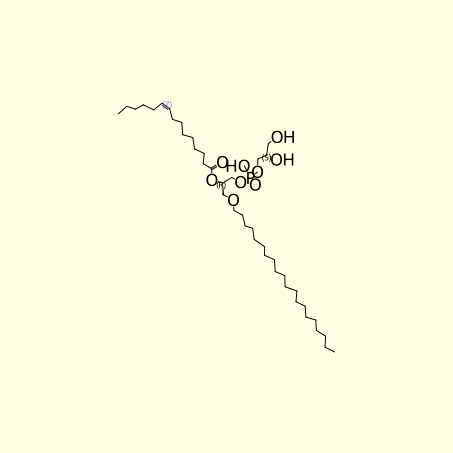 CCCCC/C=C\CCCCCCCC(=O)O[C@H](COCCCCCCCCCCCCCCCCCCCC)COP(=O)(O)OC[C@@H](O)CO